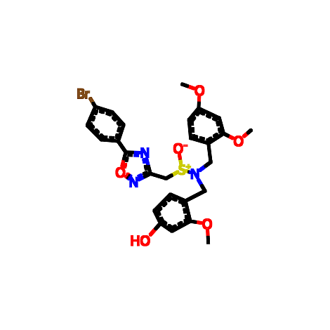 COc1ccc(CN(Cc2ccc(O)cc2OC)[S+]([O-])Cc2noc(-c3ccc(Br)cc3)n2)c(OC)c1